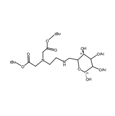 CC(=O)OC1C(OC(C)=O)[C@H](O)OC(CNCCN(CC(=O)OC(C)(C)C)CC(=O)OC(C)(C)C)[C@H]1O